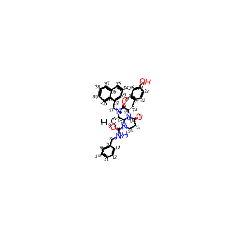 C[C@H]1C2N(C(=O)NCc3ccccc3)CCC(=O)N2[C@@H](Cc2ccc(O)cc2)C(=O)N1Cc1cccc2ccccc12